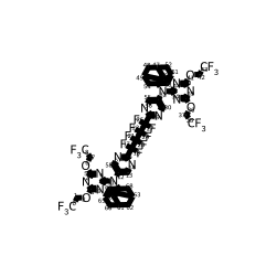 FC(F)(F)COc1nc(OCC(F)(F)F)nc(N(c2cnc(C(F)(F)C(F)(F)C(F)(F)C(F)(F)c3ncc(N(c4nc(OCC(F)(F)F)nc(OCC(F)(F)F)n4)C45CC6CC(CC(C6)C4)C5)cn3)nc2)C23CC4CC(CC(C4)C2)C3)n1